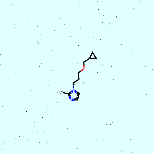 Cc1nccn1CCCOCC1CC1